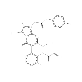 C=CC(=O)Nc1c(Cl)cccc1-c1c(CC)nc2n(CC(=O)Nc3ccc(F)cc3)c(C)c(C)n2c1=O